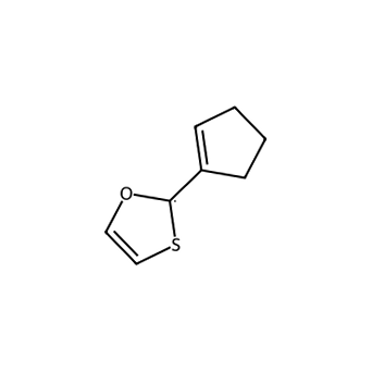 C1=CS[C](C2=CCCC2)O1